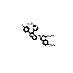 CNc1nccc(-c2c(-c3ccc(F)cc3)nc3n2[C@H](CN(CCOC)Cc2ccc(OC)cc2)CC3)n1